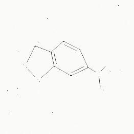 OB(O)c1ccc2c(c1)NNC2